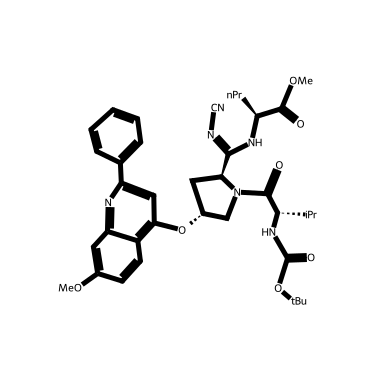 CCC[C@H](NC(=NC#N)[C@@H]1C[C@@H](Oc2cc(-c3ccccc3)nc3cc(OC)ccc23)CN1C(=O)[C@@H](NC(=O)OC(C)(C)C)C(C)C)C(=O)OC